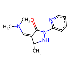 CC1NN(c2ccccn2)C(=O)C1=CN(C)C